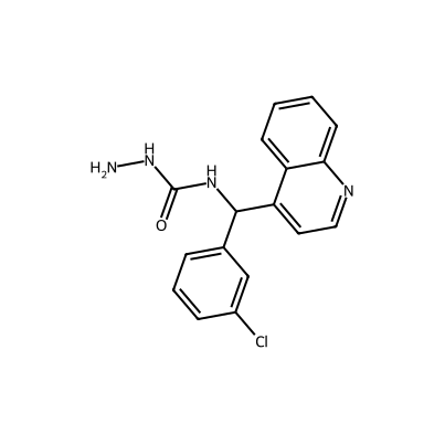 NNC(=O)NC(c1cccc(Cl)c1)c1ccnc2ccccc12